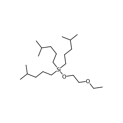 CCOCCO[Si](CCCC(C)C)(CCCC(C)C)CCCC(C)C